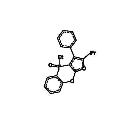 CCP1(=O)c2ccccc2Oc2oc(C(C)C)c(-c3ccccc3)c21